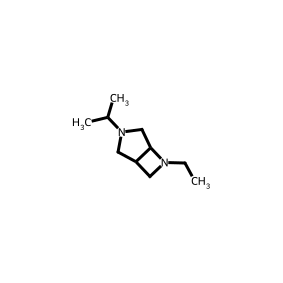 CCN1CC2CN(C(C)C)CC21